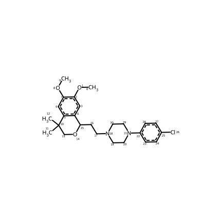 COc1cc2c(cc1OC)C(C)(C)COC2CCN1CCN(c2ccc(Cl)cc2)CC1